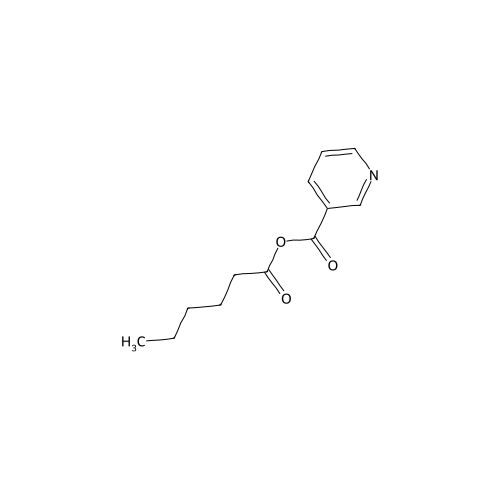 CCCCCC(=O)OC(=O)c1cccnc1